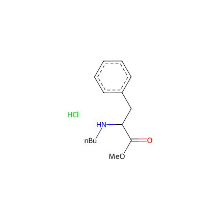 CCCCNC(Cc1ccccc1)C(=O)OC.Cl